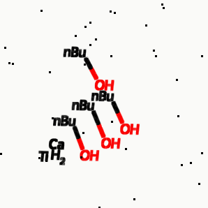 CCCCO.CCCCO.CCCCO.CCCCO.[CaH2].[Ti]